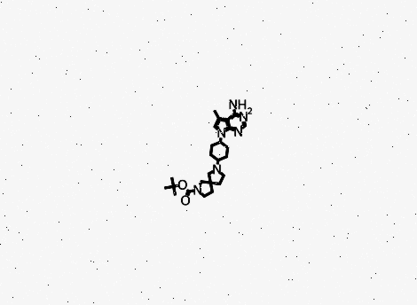 Cc1cn(C2CCC(N3CCC4(CCN(C(=O)OC(C)(C)C)C4)C3)CC2)c2ncnc(N)c12